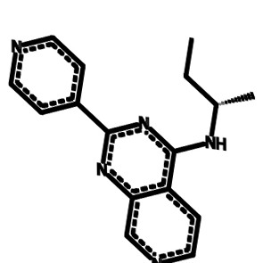 CC[C@H](C)Nc1nc(-c2ccncc2)nc2cnccc12